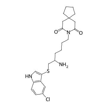 NC(CCCCN1C(=O)CC2(CCCC2)CC1=O)CSc1c[nH]c2ccc(Cl)cc12